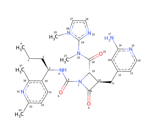 CCC[C@@H](NC(=O)N1C(=O)[C@H](Cc2ccnc(N)c2)[C@H]1C(=O)N(C)c1nccn1C)c1ccc(C)nc1C